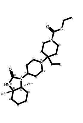 CCOC(=O)N1CCC(CC)(N2CCC(N3C(=O)N[C@H]4CCCC[C@@H]43)CC2)CC1